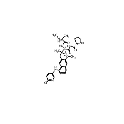 CN[C@@H](C)C(=O)N[C@H](C(=O)NC(=O)[C@@H]1CCCN1)C(C)(C)Cc1cc2c(Nc3ccc(Cl)nc3)ncnc2cc1OC